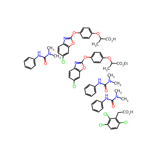 CC(Oc1ccc(Oc2nc3ccc(Cl)cc3o2)cc1)C(=O)O.CCOC(=O)C(C)Oc1ccc(Oc2nc3ccc(Cl)cc3o2)cc1.CN(C)C(=O)Nc1ccccc1.CN(C)C(=O)Nc1ccccc1.CN(C)C(=O)Nc1ccccc1.O=C(O)Cc1c(Cl)ccc(Cl)c1Cl